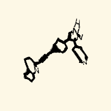 C(#Cc1ccc2ccccc2n1)c1ccc(-c2c[nH]nc2-c2ccncc2)cc1